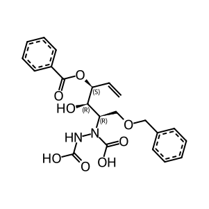 C=C[C@H](OC(=O)c1ccccc1)[C@H](O)[C@@H](COCc1ccccc1)N(NC(=O)O)C(=O)O